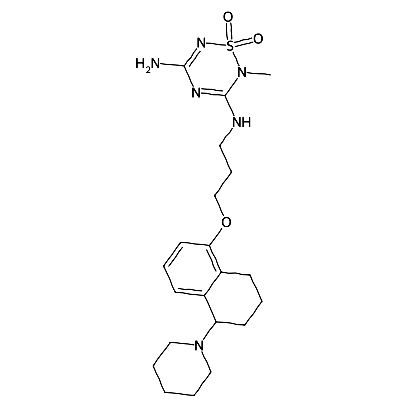 CN1C(NCCCOc2cccc3c2CCCC3N2CCCCC2)=NC(N)=NS1(=O)=O